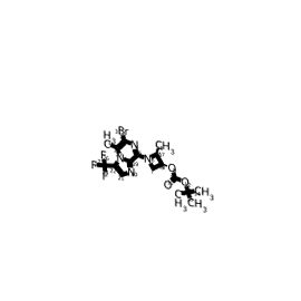 Cc1c(Br)nc(N2C[C@@H](OC(=O)OC(C)(C)C)[C@@H]2C)c2ncc(C(F)(F)F)n12